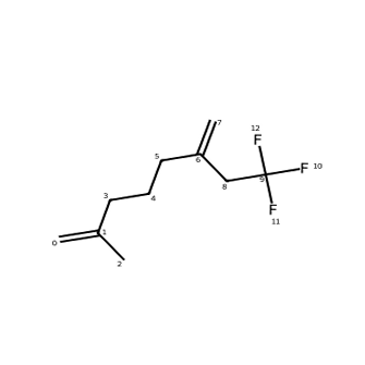 C=C(C)CCCC(=C)CC(F)(F)F